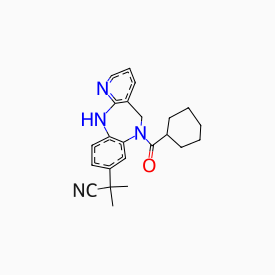 CC(C)(C#N)c1ccc2c(c1)N(C(=O)C1CCCCC1)Cc1cccnc1N2